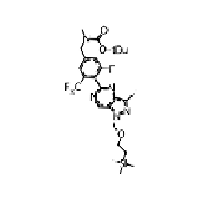 CN(Cc1cc(F)c(-c2ncc3c(n2)c(I)nn3COCC[Si](C)(C)C)c(C(F)(F)F)c1)C(=O)OC(C)(C)C